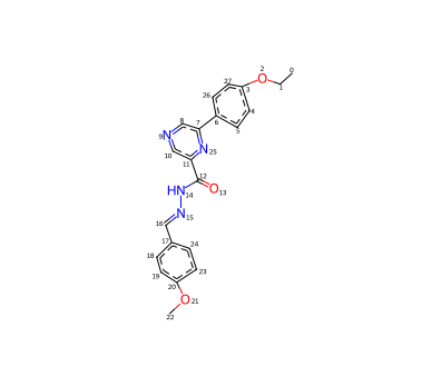 CCOc1ccc(-c2cncc(C(=O)NN=Cc3ccc(OC)cc3)n2)cc1